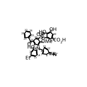 CCc1ccc(NC2=CCC(=[N+]=[N-])C=C2)cc1.COc1cc(O)c(C(=O)c2ccccc2)cc1S(=O)(=O)Oc1cc(C(=O)O)cc(O)c1O